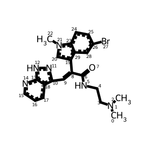 CN(C)CCNC(=O)/C(=C/c1n[nH]c2ncccc12)c1cn(C)c2ccc(Br)cc12